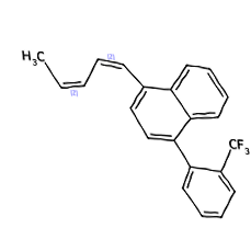 C/C=C\C=C/c1ccc(-c2ccccc2C(F)(F)F)c2ccccc12